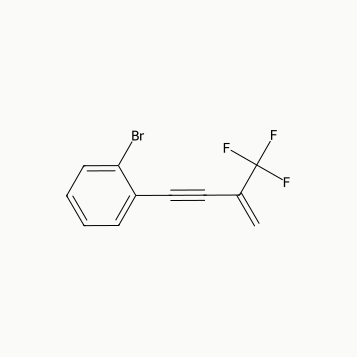 C=C(C#Cc1ccccc1Br)C(F)(F)F